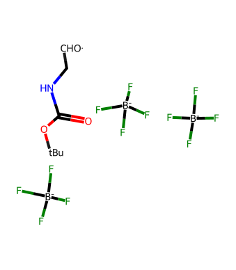 CC(C)(C)OC(=O)NC[C]=O.F[B-](F)(F)F.F[B-](F)(F)F.F[B-](F)(F)F